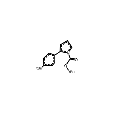 CC(C)(C)OC(=O)n1cccc1-c1ccc(C(C)(C)C)cc1